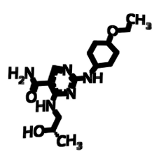 CCOC1CCC(Nc2ncc(C(N)=O)c(NC[C@H](C)O)n2)CC1